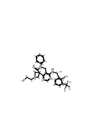 C[C@@H](Nc1ncnc2c1CN(c1ccccc1)C(=O)C21CN(CCF)C1)c1cccc(C(F)(F)F)c1F